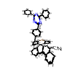 N#Cc1cc2c(c3ccccc13)-c1ccccc1C21c2ccccc2Sc2c(-c3ccc(-c4nc(-c5ccccc5)nc(-c5ccccc5)n4)cc3)cccc21